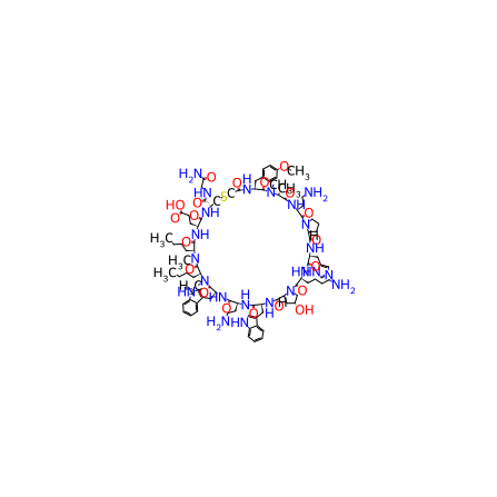 CCCC[C@H]1C(=O)N(C)[C@@H](CCCC)C(=O)N[C@@H](CCC(=O)O)C(=O)N[C@H](C(=O)NCC(N)=O)CSCC(=O)N[C@@H](Cc2ccc(OC)cc2)C(=O)N(C)[C@@H](C)C(=O)N[C@@H](CCN)C(=O)N2CCC[C@H]2C(=O)N[C@@H](Cc2cnc[nH]2)C(=O)N[C@@H](CCCCN)C(=O)N2C[C@H](O)C[C@H]2C(=O)N[C@@H](Cc2c[nH]c3ccccc23)C(=O)N[C@@H](CCN)C(=O)N[C@@H](Cc2c[nH]c3ccccc23)C(=O)N1C